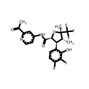 CC(=O)c1cc(NC(=O)[C@H]2O[C@](C)(C(F)(F)F)[C@H](C)[C@H]2c2ccc(F)c(F)c2O)ccn1